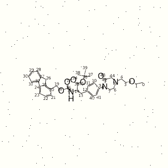 CCOCCN1CCN(c2ccc(CC(NC(=O)OCc3cccc4c3Cc3ccccc3-4)C(=O)OC(C)(C)C)cc2)C(=O)C1